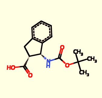 CC(C)(C)OC(=O)N[C@H]1c2ccccc2C[C@H]1C(=O)O